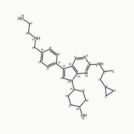 CC(CC1CC1)Nc1ncc2c(-c3ccc(CNCCO)cc3)cn(C3CCC(O)CC3)c2n1